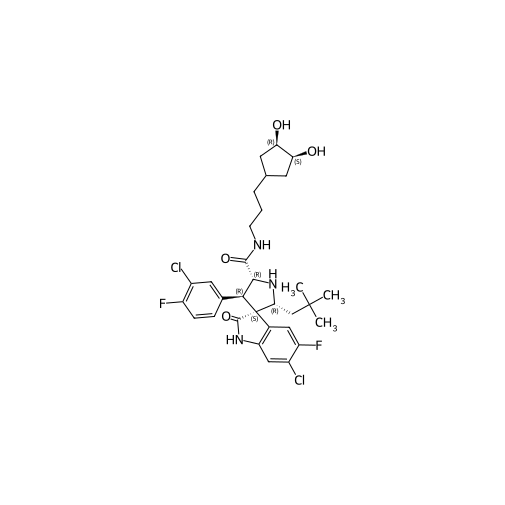 CC(C)(C)C[C@H]1N[C@@H](C(=O)NCCCC2C[C@@H](O)[C@@H](O)C2)[C@H](c2ccc(F)c(Cl)c2)[C@@]12C(=O)Nc1cc(Cl)c(F)cc12